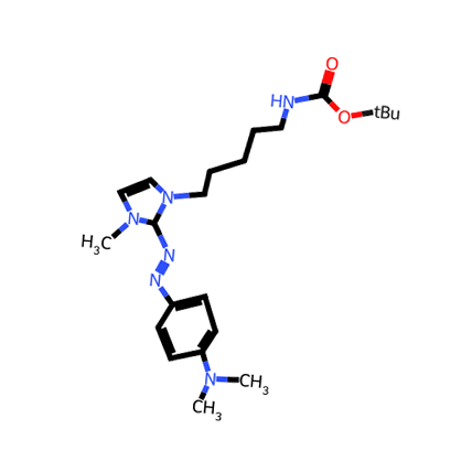 CN(C)c1ccc(N=NC2N(C)C=CN2CCCCCNC(=O)OC(C)(C)C)cc1